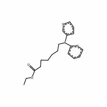 CCOC(=O)CCCCCCN(c1cccnc1)c1ccccn1